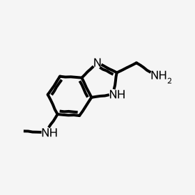 CNc1ccc2nc(CN)[nH]c2c1